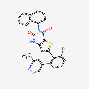 Cc1cc(-c2cccc(Cl)c2-c2cc3[nH]c(=O)n(-c4cccc5ccccc45)c(=O)c3s2)cnn1